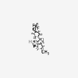 Cc1cc(F)c2c(c1)COC(c1ccc(OC(F)(F)F)cc1)C2C